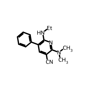 CCNc1nc(N(C)C)c(C#N)cc1-c1ccccc1